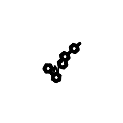 Cc1ccc(-c2ccc3cc(-n4c5ccccc5c5ccccc54)ccc3c2)cc1